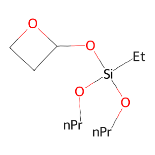 CCCO[Si](CC)(OCCC)OC1CCO1